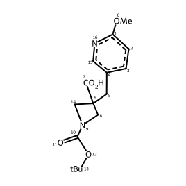 COc1ccc(CC2(C(=O)O)CN(C(=O)OC(C)(C)C)C2)cn1